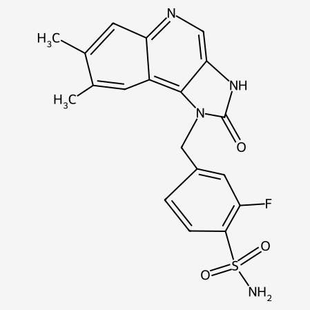 Cc1cc2ncc3[nH]c(=O)n(Cc4ccc(S(N)(=O)=O)c(F)c4)c3c2cc1C